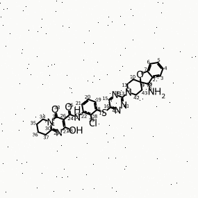 N[C@@H]1c2ccccc2OC12CCN(c1ncc(Sc3cccc(NC(=O)c4c(O)nc5n(c4=O)CCCC5)c3Cl)nn1)CC2